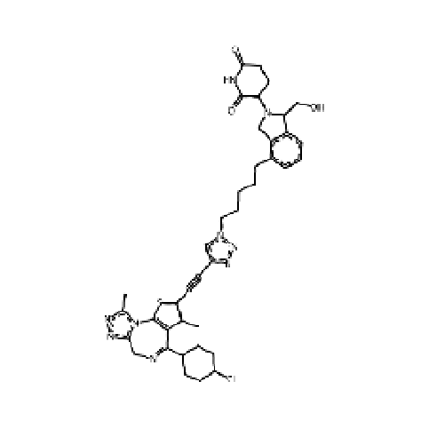 Cc1nnc2n1C1=C(C(C3CCC(Cl)CC3)=NC2)C(C)C(C#Cc2cn(CCCCCc3cccc4c3CN(C3CCC(=O)NC3=O)C4CO)nn2)S1